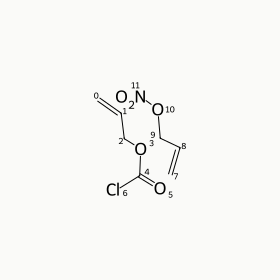 C=CCOC(=O)Cl.C=CCO[N+](=O)[O-]